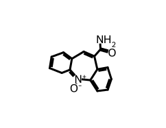 NC(=O)C1=CC2=CC=CCC2=[N+]([O-])c2ccccc21